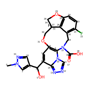 Cn1cc(C(O)c2cc3c(n4cnnc24)N(C(=O)O)Cc2c(F)ccc4c2[C@@H](CO4)CO3)cn1